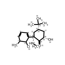 CN[C@]1(C2=CC=CC(C)C2Cl)C[C@H](C(C)(C)C)C[C@H](O)C1=O